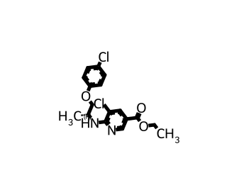 CCOC(=O)c1cnc(N[C@H](C)COc2ccc(Cl)cc2)c(Cl)c1